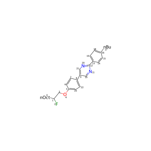 CCCCCCCCC(F)COc1ccc(-c2cnc(-c3ccc(CCCC)cc3)nc2)cc1